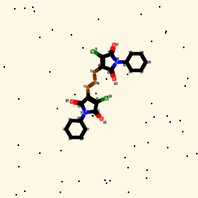 O=C1C(Cl)=C(SSSC2=C(Cl)C(=O)N(C3CCCCC3)C2=O)C(=O)N1C1CCCCC1